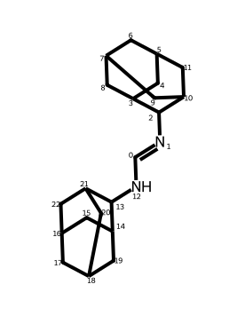 C(=NC1C2CC3CC(C2)CC1C3)NC1C2CC3CC(C2)CC1C3